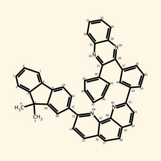 CC1(C)c2ccccc2-c2ccc(-c3ccc4ccc5ccc(-c6cccc(-c7nc8ccccc8nc7-c7ccccc7)c6)nc5c4n3)cc21